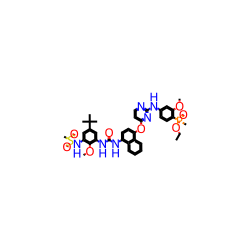 CCOP(C)(=O)c1ccc(Nc2nccc(Oc3ccc(NC(=O)Nc4cc(C(C)(C)C)cc(NS(C)(=O)=O)c4OC)c4ccccc34)n2)cc1OC